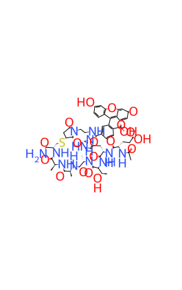 CC(=O)N[C@@H](CCC(=O)O)C(=O)N[C@@H](Cc1c[nH]cn1)C(=O)N[C@H](C(=O)N[C@@H](C)C(=O)N[C@@H](C)C(=O)N[C@@H](C)C(=O)N[C@@H](CSC1CC(=O)N(CCNC(=O)c2ccc(C(=O)O)c(-c3c4ccc(=O)cc-4oc4cc(O)ccc34)c2)C1=O)C(N)=O)[C@@H](C)O